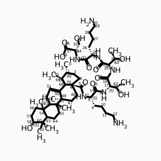 C[C@@H]1CC[C@]2(C(=O)N[C@@H](CCCCN)C(=O)N[C@H](C(=O)N[C@H](C(=O)N[C@@H](CCCCN)C(=O)N[C@@H](CO)C(=O)O)[C@@H](C)O)[C@@H](C)O)CC[C@]3(C)C(=CCC4[C@@]5(C)CC[C@H](O)C(C)(C)C5CC[C@]43C)C2[C@H]1C